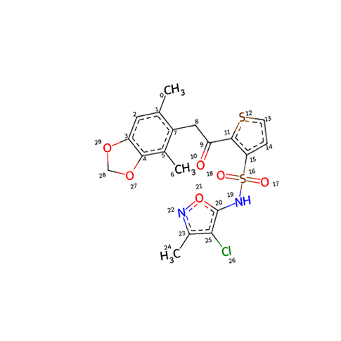 Cc1cc2c(c(C)c1CC(=O)c1sccc1S(=O)(=O)Nc1onc(C)c1Cl)OCO2